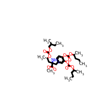 CCCC(C)OC(=O)Oc1cc(CC(N)(C[C@H](C)OC(=O)OCC(C)CC)C(=O)OC)ccc1OC(=O)O[C@@H](C)CCC